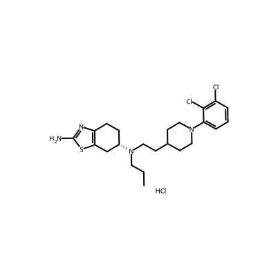 CCCN(CCC1CCN(c2cccc(Cl)c2Cl)CC1)[C@H]1CCc2nc(N)sc2C1.Cl